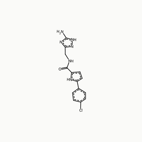 Nc1nc(CNC(=O)c2ccc(-c3ccc(Cl)cc3)[nH]2)n[nH]1